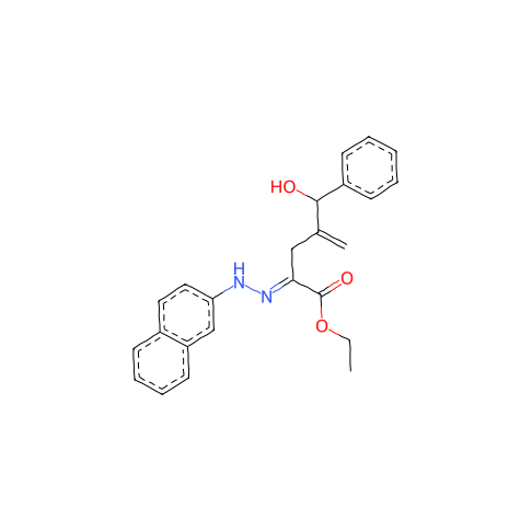 C=C(C/C(=N\Nc1ccc2ccccc2c1)C(=O)OCC)C(O)c1ccccc1